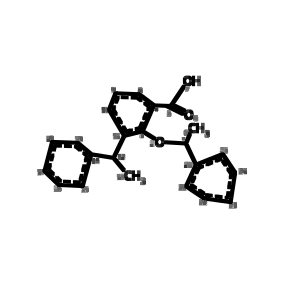 CC(Oc1c(C(=O)O)cccc1C(C)c1ccccc1)c1ccccc1